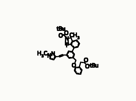 CC(NC(=O)OC(C)(C)C)c1cccc(-c2cc(C#Cc3ccn(C)n3)cc(COc3ccccc3CC(=O)OC(C)(C)C)c2)c1F